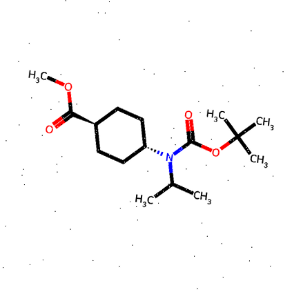 COC(=O)[C@H]1CC[C@H](N(C(=O)OC(C)(C)C)C(C)C)CC1